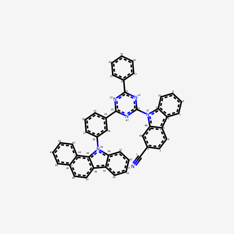 N#Cc1ccc2c3ccccc3n(-c3nc(-c4ccccc4)nc(-c4cccc(-n5c6ccccc6c6ccc7ccccc7c65)c4)n3)c2c1